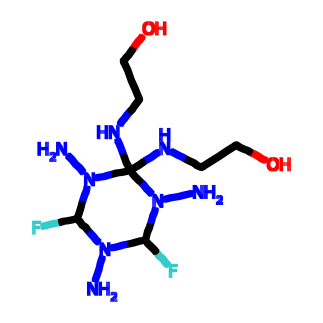 NN1C(F)N(N)C(NCCO)(NCCO)N(N)C1F